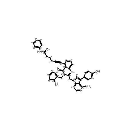 Nc1ncnc2c1c(-c1ccc(O)cc1)nn2Cc1nc2cccc(C#CCCCC(=O)Nc3ccncc3)c2c(=O)n1Cc1ccccc1Cl